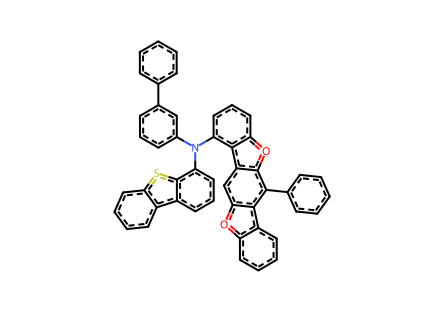 c1ccc(-c2cccc(N(c3cccc4c3sc3ccccc34)c3cccc4oc5c(-c6ccccc6)c6c(cc5c34)oc3ccccc36)c2)cc1